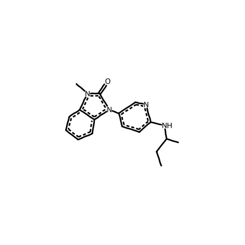 CCC(C)Nc1ccc(-n2c(=O)n(C)c3ccccc32)cn1